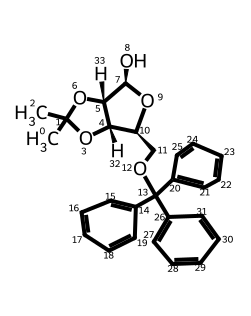 CC1(C)O[C@@H]2[C@H](O1)[C@@H](O)O[C@H]2COC(c1ccccc1)(c1ccccc1)c1ccccc1